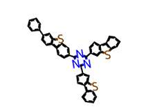 c1ccc(-c2ccc3c(c2)sc2cc(-c4nc(-c5ccc6c(c5)sc5ccccc56)nc(-c5ccc6c(c5)sc5ccccc56)n4)ccc23)cc1